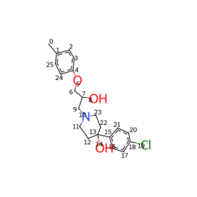 Cc1ccc(OCC(O)CN2CCC(O)(c3ccc(Cl)cc3)CC2)cc1